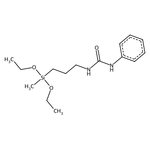 CCO[Si](C)(CCCNC(=O)Nc1ccccc1)OCC